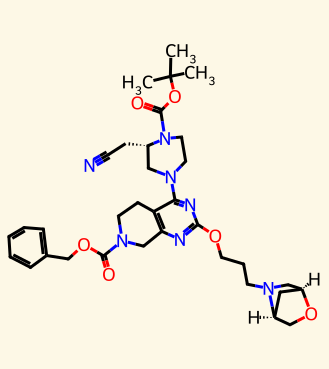 CC(C)(C)OC(=O)N1CCN(c2nc(OCCCN3C[C@@H]4C[C@H]3CO4)nc3c2CCN(C(=O)OCc2ccccc2)C3)C[C@@H]1CC#N